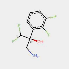 NC[C@@](O)(c1cccc(F)c1F)C(F)F